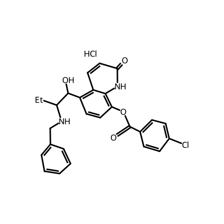 CCC(NCc1ccccc1)C(O)c1ccc(OC(=O)c2ccc(Cl)cc2)c2[nH]c(=O)ccc12.Cl